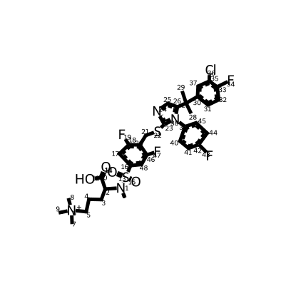 CN(C(CCC[N+](C)(C)C)C(=O)O)S(=O)(=O)c1cc(F)c(CSc2ncc(C(C)(C)c3ccc(F)c(Cl)c3)n2-c2ccc(F)cc2)c(F)c1